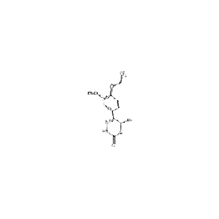 CCC1SC(=O)NN=C1c1ccc(OCC(F)(F)F)c(OC)c1